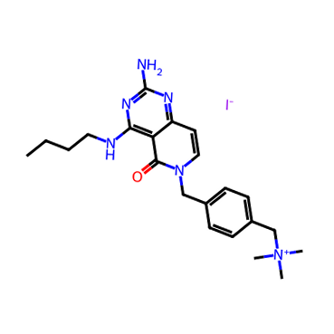 CCCCNc1nc(N)nc2ccn(Cc3ccc(C[N+](C)(C)C)cc3)c(=O)c12.[I-]